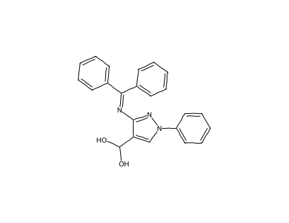 OC(O)c1cn(-c2ccccc2)nc1N=C(c1ccccc1)c1ccccc1